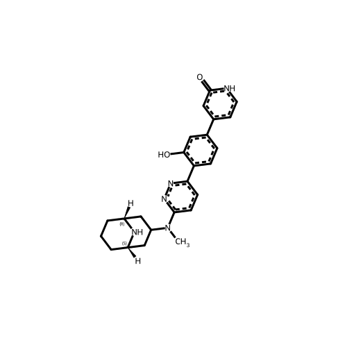 CN(c1ccc(-c2ccc(-c3cc[nH]c(=O)c3)cc2O)nn1)C1C[C@H]2CCC[C@@H](C1)N2